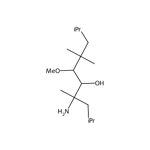 COC(C(O)C(C)(N)CC(C)C)C(C)(C)CC(C)C